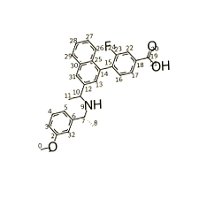 COc1cccc([C@@H](C)NC(C)c2cc(-c3ccc(C(=O)O)cc3F)c3ccccc3c2)c1